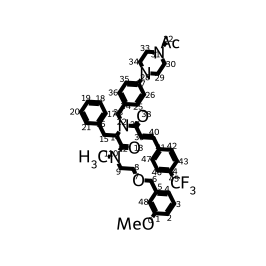 COc1cccc(COCCN(C)C(=O)C(Cc2ccccc2)N(Cc2ccc(N3CCN(C(C)=O)CC3)cc2)C(=O)C=Cc2ccc(C(F)(F)F)cc2)c1